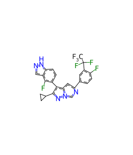 Fc1ccc(-c2cc3c(-c4ccc5[nH]ncc5c4F)c(C4CC4)nn3cn2)cc1C(F)(F)C(F)(F)F